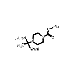 CCCCCCCC(C)(CCCCC)N1CCN(C(=O)OC(C)(C)C)CC1